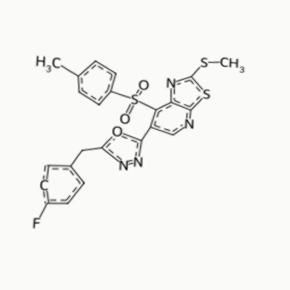 CSc1nc2c(S(=O)(=O)c3ccc(C)cc3)c(-c3nnc(Cc4ccc(F)cc4)o3)cnc2s1